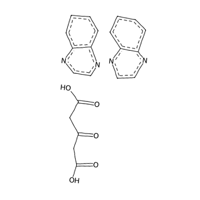 O=C(O)CC(=O)CC(=O)O.c1ccc2nccnc2c1.c1ccc2nccnc2c1